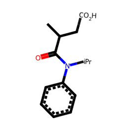 CC(CC(=O)O)C(=O)N(c1ccccc1)C(C)C